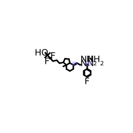 CC12CCC/C(=C\CN(N)/C(=N\N)c3ccc(F)cc3)C1CCC2CCCC(F)(F)C(C)(C)O